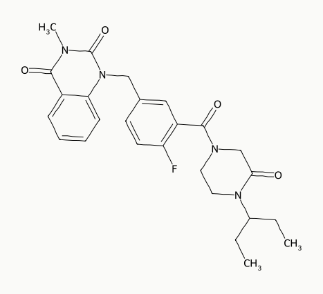 CCC(CC)N1CCN(C(=O)c2cc(Cn3c(=O)n(C)c(=O)c4ccccc43)ccc2F)CC1=O